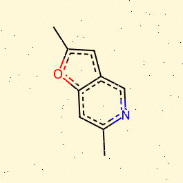 Cc1cc2oc(C)cc2cn1